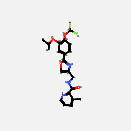 Cc1cccnc1C(=O)NCc1coc(-c2ccc(OC(F)F)c(OC(C)C)c2)n1